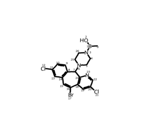 CB(O)N1CCN(C2c3ccc(Cl)cc3C=C(Br)c3cc(Cl)cnc32)CC1